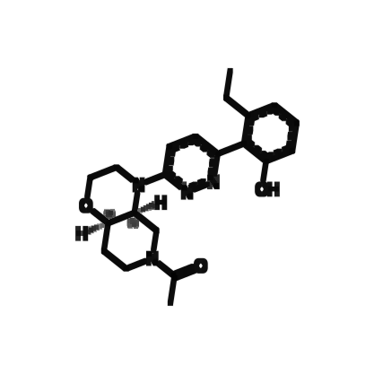 CCc1cccc(O)c1-c1ccc(N2CCO[C@@H]3CCN(C(C)=O)C[C@@H]32)nn1